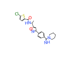 CC(NC(=O)c1ccc(Cl)s1)c1cc(-c2ccc(C(=N)N3CCCCC3)cc2)no1